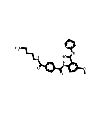 COc1ccc(NC(=O)c2ccc(C(=O)NCCCCN)cc2)c(C(O)Nc2ccccn2)c1